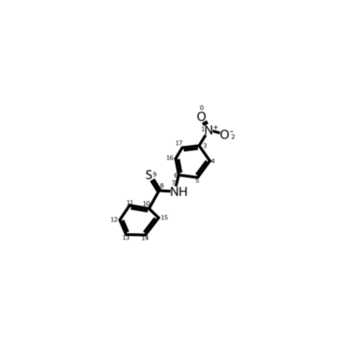 O=[N+]([O-])c1ccc(NC(=S)c2ccccc2)cc1